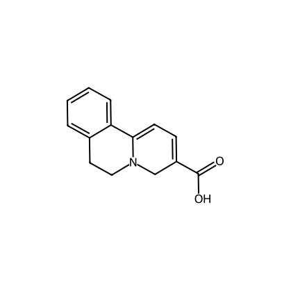 O=C(O)C1=CC=C2c3ccccc3CCN2C1